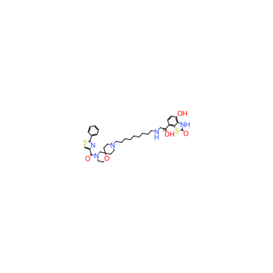 O=C(c1csc(-c2ccccc2)n1)N1CCOC2(CCN(CCCCCCCCCNC[C@H](O)c3ccc(O)c4[nH]c(=O)sc34)CC2)C1